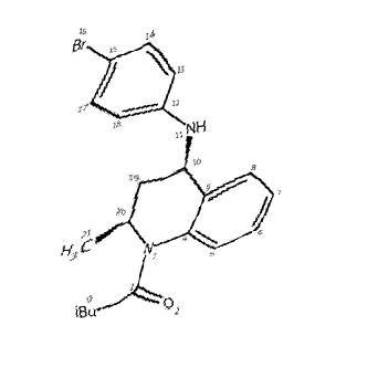 CCC(C)C(=O)N1c2ccccc2[C@H](Nc2ccc(Br)cc2)C[C@@H]1C